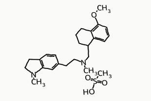 COc1cccc2c1CCCC2CN(C)CCc1ccc2c(c1)N(C)CC2.CS(=O)(=O)O